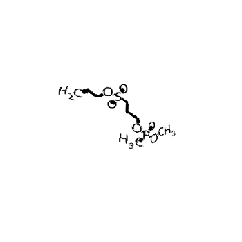 C=CCOS(=O)(=O)CCCOP(C)(=O)OC